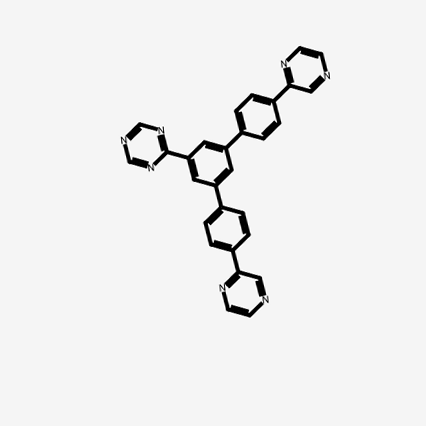 c1cnc(-c2ccc(-c3cc(-c4ccc(-c5cnccn5)cc4)cc(-c4ncncn4)c3)cc2)cn1